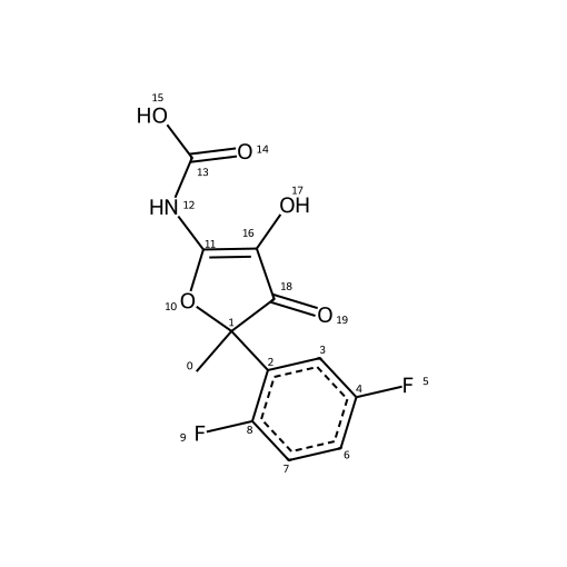 CC1(c2cc(F)ccc2F)OC(NC(=O)O)=C(O)C1=O